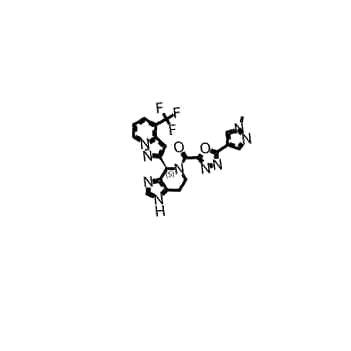 Cn1cc(-c2nnc(C(=O)N3CCc4[nH]cnc4[C@H]3c3cc4c(C(F)(F)F)cccn4n3)o2)cn1